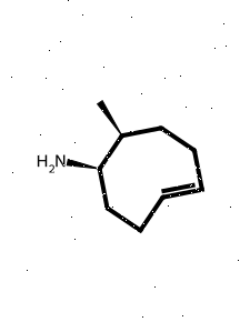 C[C@H]1CC/C=C/CC[C@H]1N